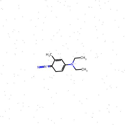 CCN(CC)C1=CCC(=[N+]=[N-])C(C)=C1